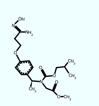 COC(=O)CN(C(=O)OCC(C)C)[C@@H](C)c1ccc(OCC/C(N)=N/O)cc1